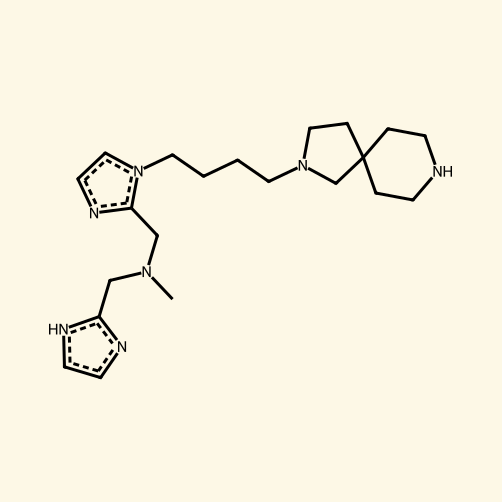 CN(Cc1ncc[nH]1)Cc1nccn1CCCCN1CCC2(CCNCC2)C1